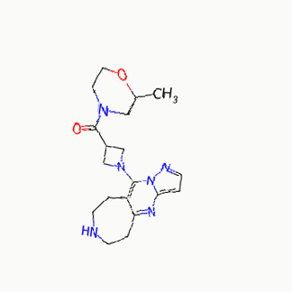 CC1CN(C(=O)C2CN(c3c4c(nc5ccnn35)CCNCC4)C2)CCO1